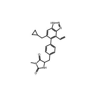 C=Cc1c(-c2ccc(CC3NC(=O)N(C)C3=O)cc2)c(CC2CC2)cc2[nH]nnc12